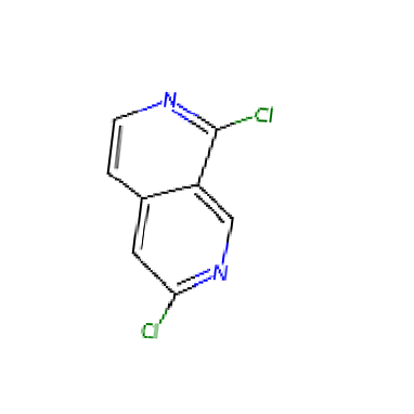 Clc1cc2ccnc(Cl)c2cn1